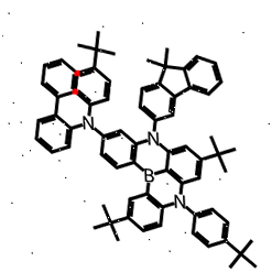 CC(C)(C)c1ccc(N(c2ccc3c(c2)N(c2ccc4c(c2)-c2ccccc2C4(C)C)c2cc(C(C)(C)C)cc4c2B3c2cc(C(C)(C)C)ccc2N4c2ccc(C(C)(C)C)cc2)c2ccccc2-c2ccccc2)cc1